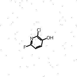 Oc1ccc(F)nc1Cl